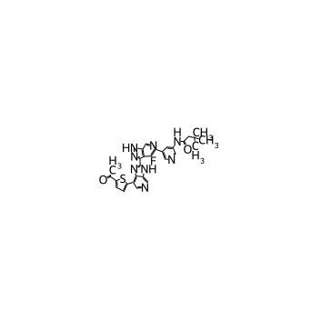 CC(=O)c1ccc(-c2cncc3[nH]c(-c4n[nH]c5cnc(-c6cncc(NC(=O)CC(C)(C)C)c6)c(F)c45)nc23)s1